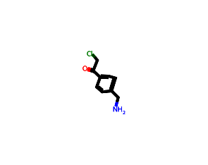 NCc1ccc(C(=O)CCl)cc1